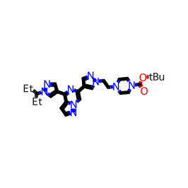 CCC(CC)n1cc(-c2nc(-c3cnn(CCN4CCN(C(=O)OC(C)(C)C)CC4)c3)cn3nccc23)cn1